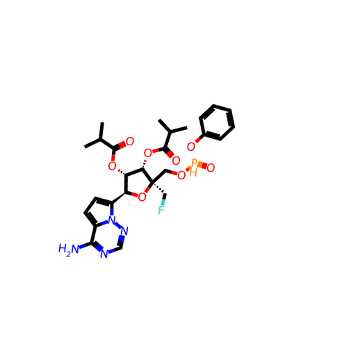 CC(C)C(=O)O[C@H]1[C@H](c2ccc3c(N)ncnn23)O[C@](CF)(CO[PH](=O)Oc2ccccc2)[C@H]1OC(=O)C(C)C